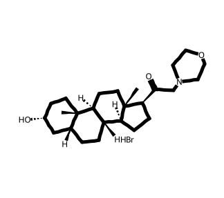 Br.C[C@]12CC[C@@H](O)C[C@H]1CC[C@@H]1[C@@H]2CC[C@]2(C)[C@@H](C(=O)CN3CCOCC3)CC[C@@H]12